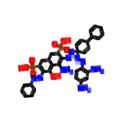 Nc1ccc(/N=N/C2(/N=N/c3c(S(=O)(=O)O)cc4cc(S(=O)(=O)O)c(/N=N/c5ccccc5)c(O)c4c3N)C=CC(c3ccccc3)C=C2)c(N)c1